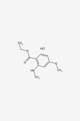 CCOC(=O)c1ccc(OC)cc1NC.Cl